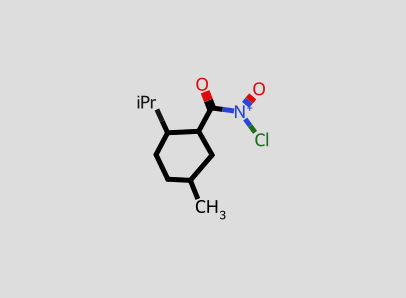 CC1CCC(C(C)C)C(C(=O)[N+](=O)Cl)C1